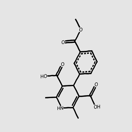 COC(=O)c1cccc(C2C(C(=O)O)=C(C)NC(C)=C2C(=O)O)c1